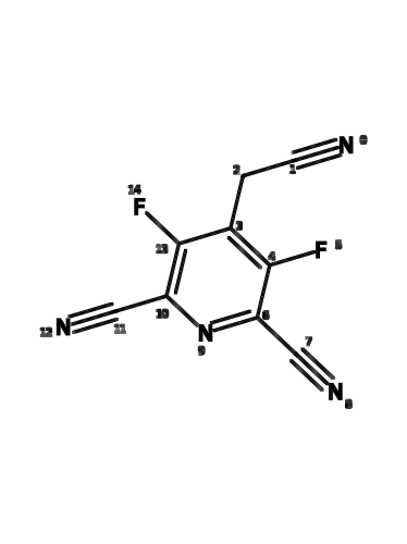 N#CCc1c(F)c(C#N)nc(C#N)c1F